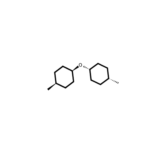 C[C@H]1CC[C@@H](O[C@H]2CC[C@@H](C)CC2)CC1